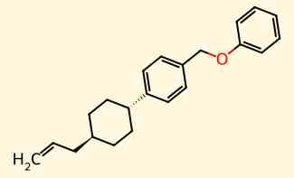 C=CC[C@H]1CC[C@H](c2ccc(COc3ccccc3)cc2)CC1